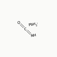 N=C=O.[PbH2]